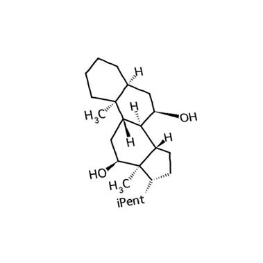 CCC[C@@H](C)[C@H]1CC[C@H]2[C@@H]3[C@H](O)C[C@@H]4CCCC[C@]4(C)[C@H]3C[C@H](O)[C@]12C